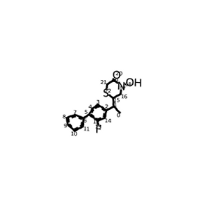 CC(c1ccc(-c2ccccc2)c(F)c1)C1CN(O)C(=O)CS1